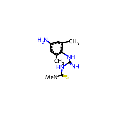 CNC(=S)NC(=N)Nc1c(C)cc(N)cc1C